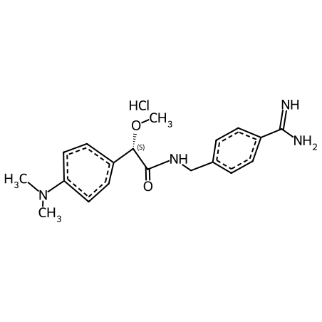 CO[C@H](C(=O)NCc1ccc(C(=N)N)cc1)c1ccc(N(C)C)cc1.Cl